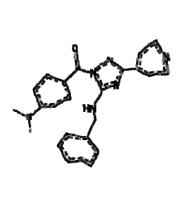 CN(C)c1ccc(C(=O)n2nc(-c3ccncc3)nc2NCc2ccccc2)cc1